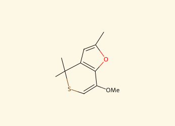 COC1=CSC(C)(C)c2cc(C)oc21